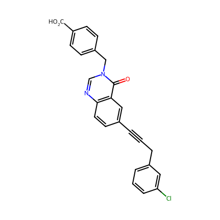 O=C(O)c1ccc(Cn2cnc3ccc(C#CCc4cccc(Cl)c4)cc3c2=O)cc1